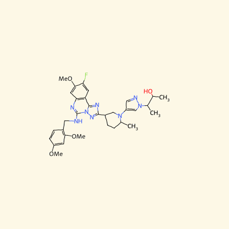 COc1ccc(CNc2nc3cc(OC)c(F)cc3c3nc(C4CCC(C)N(c5cnn(C(C)C(C)O)c5)C4)nn23)c(OC)c1